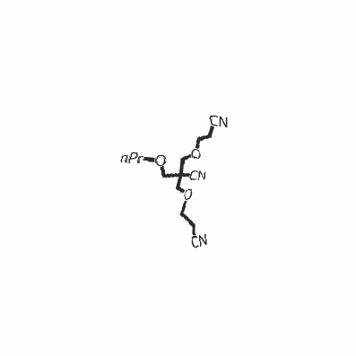 CCCOCC(C#N)(COCCC#N)COCCC#N